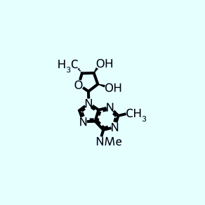 CNc1nc(C)nc2c1ncn2C1O[C@H](C)[C@@H](O)[C@H]1O